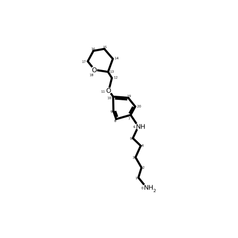 NCCCCCNc1ccc(OCC2CCCCO2)cc1